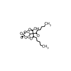 CCCCCC(=O)C(C(=O)O)(C(=O)CCCCC)C1OOS(=O)(=O)OO1